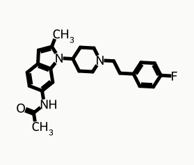 CC(=O)Nc1ccc2cc(C)n(C3CCN(CCc4ccc(F)cc4)CC3)c2c1